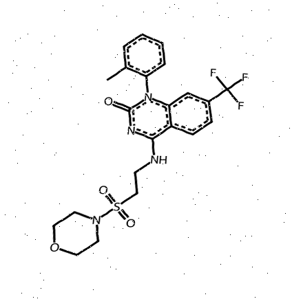 Cc1ccccc1-n1c(=O)nc(NCCS(=O)(=O)N2CCOCC2)c2ccc(C(F)(F)F)cc21